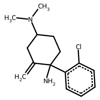 C=C1CC(N(C)C)CCC1(N)c1ccccc1Cl